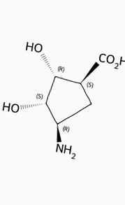 N[C@@H]1C[C@H](C(=O)O)[C@@H](O)[C@H]1O